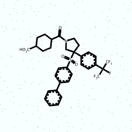 O=C(O)C1CCC(C(=O)N2CCC(c3ccc(C(F)(C(F)(F)F)C(F)(F)F)cc3)(S(=O)(=O)c3ccc(-c4ccccc4)cc3)C2)CC1